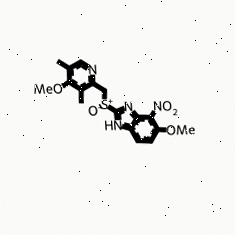 COc1ccc2[nH]c([S+]([O-])Cc3ncc(C)c(OC)c3C)nc2c1[N+](=O)[O-]